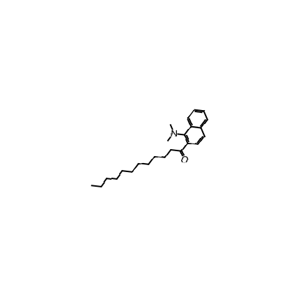 CCCCCCCCCCCC(=O)c1ccc2ccccc2c1N(C)C